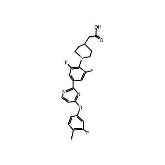 O=C(O)CC1CCN(c2c(F)cc(-c3nccc(Oc4ccc(F)c(F)c4)n3)cc2F)CC1